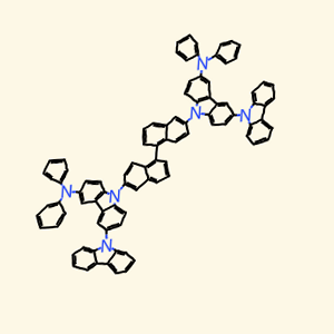 c1ccc(N(c2ccccc2)c2ccc3c(c2)c2cc(-n4c5ccccc5c5ccccc54)ccc2n3-c2ccc3c(-c4cccc5cc(-n6c7ccc(N(c8ccccc8)c8ccccc8)cc7c7cc(-n8c9ccccc9c9ccccc98)ccc76)ccc45)cccc3c2)cc1